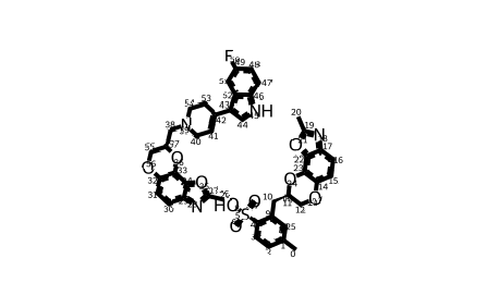 Cc1ccc(S(=O)(=O)O)c(C[C@@H]2COc3ccc4nc(C)oc4c3O2)c1.Cc1nc2ccc3c(c2o1)OC(CN1CC=C(c2c[nH]c4ccc(F)cc24)CC1)CO3